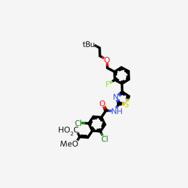 COC(=Cc1c(Cl)cc(C(=O)Nc2nc(-c3cccc(COCCC(C)(C)C)c3F)cs2)cc1Cl)C(=O)O